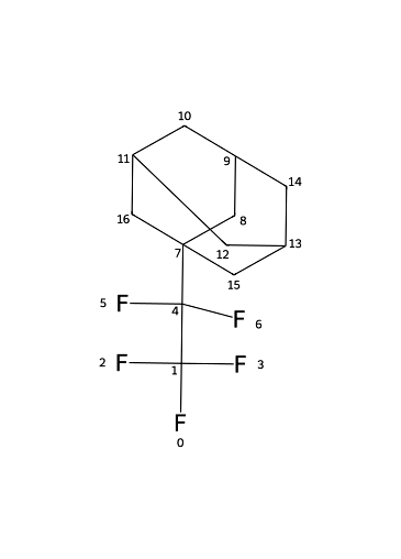 FC(F)(F)C(F)(F)C12CC3CC(CC(C3)C1)C2